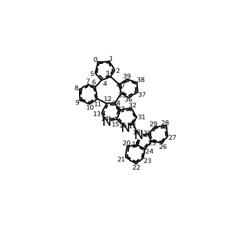 c1ccc2c(c1)-c1ccccc1-c1cnc3nc(-n4c5ccccc5c5ccccc54)ccc3c1-c1ccccc1-2